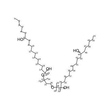 CCCCCCC(O)CCCCCCCCCCC(C)(O)OC(C)(C)CCOC(C)(C)C(C)(O)CCCCCCCCCCC(O)CCCCCC